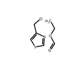 CCOC=O.ClCc1cscn1